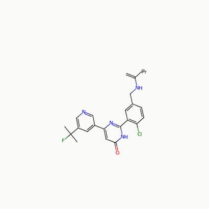 C=C(NCc1ccc(Cl)c(-c2nc(-c3cncc(C(C)(C)F)c3)cc(=O)[nH]2)c1)C(C)C